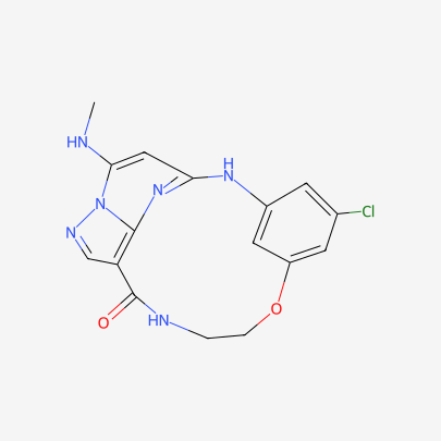 CNc1cc2nc3c(cnn13)C(=O)NCCOc1cc(Cl)cc(c1)N2